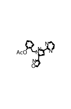 CC(=O)Oc1ccccc1Cn1nc(-c2ncccn2)cc1-c1ccon1